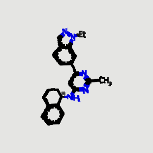 CCn1ncc2ccc(-c3cc(N[C@@H]4CCCc5ccccc54)nc(C)n3)cc21